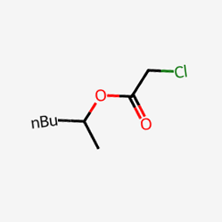 CCCCC(C)OC(=O)CCl